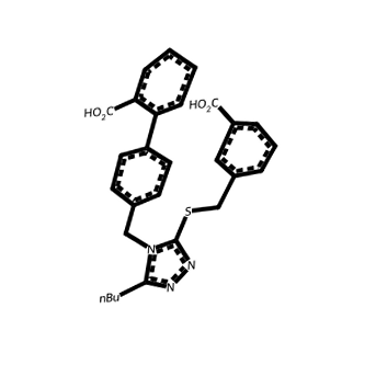 CCCCc1nnc(SCc2cccc(C(=O)O)c2)n1Cc1ccc(-c2ccccc2C(=O)O)cc1